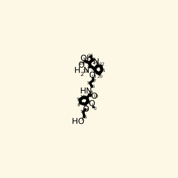 COc1c(OCCO)cccc1C(=O)NCCCOc1cccc2nc(C)c(C(=O)O)c(N)c12